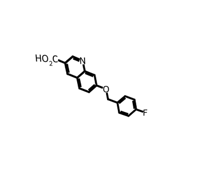 O=C(O)c1cnc2cc(OCc3ccc(F)cc3)ccc2c1